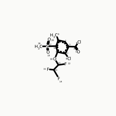 Cc1cc(C(=O)Cl)c(Cl)c(OC(F)C(F)F)c1S(C)(=O)=O